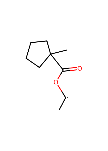 C[CH]OC(=O)C1(C)CCCC1